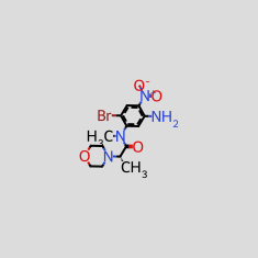 C[C@@H](C(=O)N(C)c1cc(N)c([N+](=O)[O-])cc1Br)N1CCOCC1